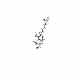 C=CC(=O)OCCCCOc1ccc(/C=C(\C#N)C=O)cc1OC